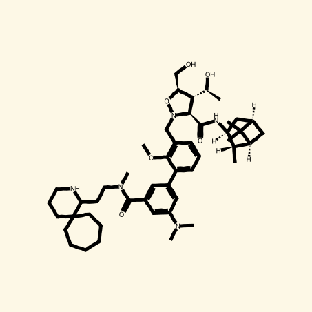 COc1c(CN2O[C@@H](CO)[C@H]([C@H](C)O)[C@H]2C(=O)N[C@H]2C[C@H]3C[C@@H]([C@@H]2C)C3(C)C)cccc1-c1cc(C(=O)N(C)CCC2NCCCC23CCCCCC3)cc(N(C)C)c1